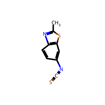 Cc1nc2ccc(N=C=S)cc2s1